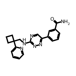 NC(=O)c1cccc(-c2cnc(NCC3(c4ccccn4)CCC3)nn2)c1